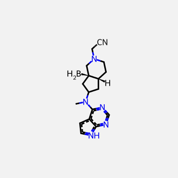 B[C@]12CC(N(C)c3ncnc4[nH]ccc34)C[C@H]1CCN(CC#N)C2